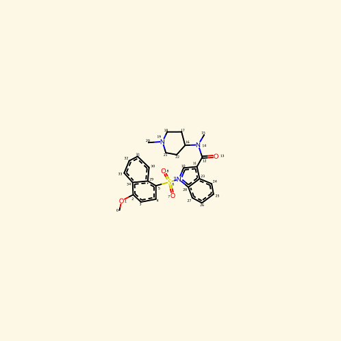 COc1ccc(S(=O)(=O)n2cc(C(=O)N(C)C3CCN(C)CC3)c3ccccc32)c2ccccc12